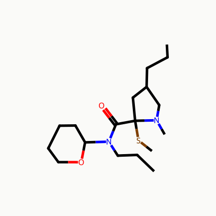 CCCC1CN(C)C(SC)(C(=O)N(CCC)C2CCCCO2)C1